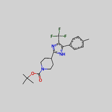 Cc1ccc(-c2[nH]c(C3CCN(C(=O)OC(C)(C)C)CC3)nc2C(F)(F)F)cc1